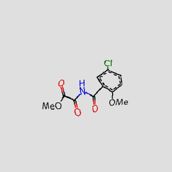 COC(=O)C(=O)NC(=O)c1cc(Cl)ccc1OC